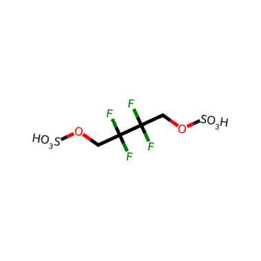 O=S(=O)(O)OCC(F)(F)C(F)(F)COS(=O)(=O)O